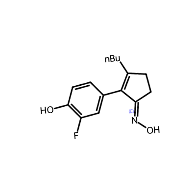 CCCCC1=C(c2ccc(O)c(F)c2)/C(=N/O)CC1